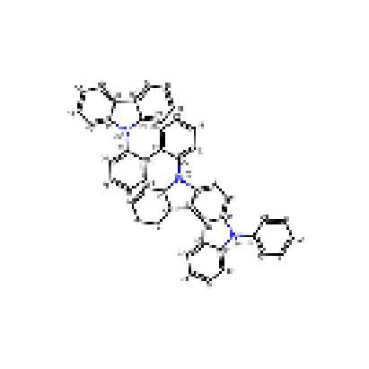 C1=CC2C(CC1)c1c(ccc3c1c1ccccc1n3-c1ccccc1)N2c1ccccc1-c1ccccc1-n1c2ccccc2c2ccccc21